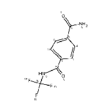 NC(=O)c1ccc(C(=O)NC(F)(F)F)cc1